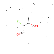 CC(O)C(F)[C]=O